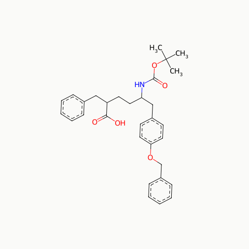 CC(C)(C)OC(=O)NC(CCC(Cc1ccccc1)C(=O)O)Cc1ccc(OCc2ccccc2)cc1